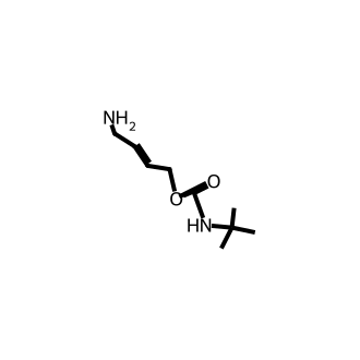 CC(C)(C)NC(=O)OC/C=C/CN